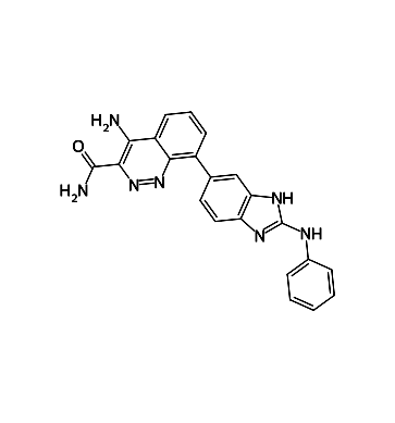 NC(=O)c1nnc2c(-c3ccc4nc(Nc5ccccc5)[nH]c4c3)cccc2c1N